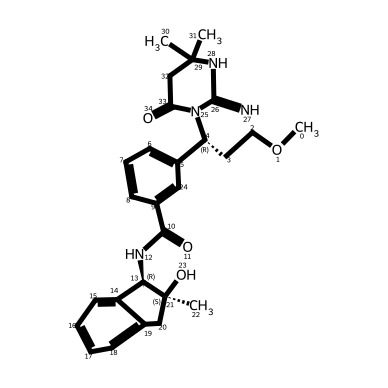 COCC[C@H](c1cccc(C(=O)N[C@@H]2c3ccccc3C[C@]2(C)O)c1)N1C(=N)NC(C)(C)CC1=O